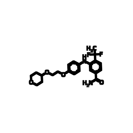 CC(F)(F)c1ccc(C(N)=O)cc1Nc1ccc(OCCOC2CCOCC2)cc1